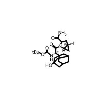 CC(C)(C)OC(=O)N[C@H](C(=O)N1C(C(N)=O)C[C@@H]2C[C@@H]21)C12CC3CC(CC(O)(C3)C1)C2